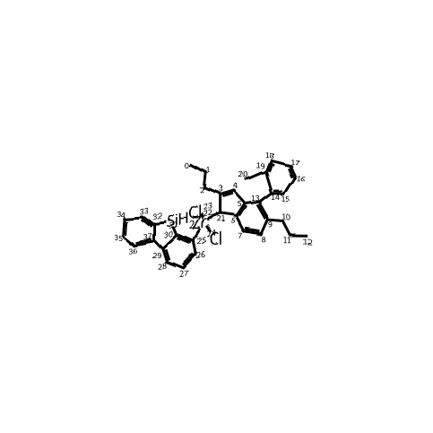 CCCC1=Cc2c(ccc(CCC)c2-c2ccccc2C)[CH]1[Zr]([Cl])([Cl])[c]1cccc2c1[SiH2]c1ccccc1-2